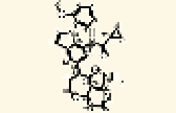 COc1ccccc1-n1ccc2cc(C3CCOc4ncnc(N)c4C3=O)cc(NC(=O)C3CC3)c21